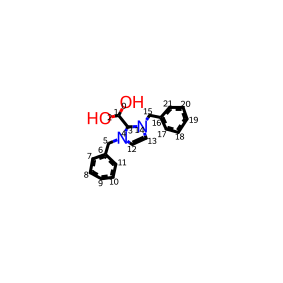 OC(O)C1N(Cc2ccccc2)C=CN1Cc1ccccc1